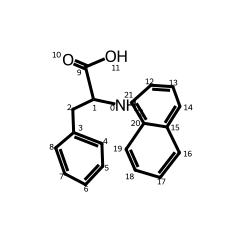 NC(Cc1ccccc1)C(=O)O.c1ccc2ccccc2c1